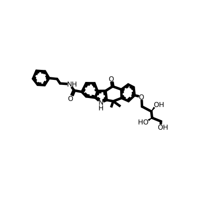 CC1(C)c2cc(OC[C@@H](O)[C@H](O)CO)ccc2C(=O)c2c1[nH]c1cc(C(=O)NCCc3ccccc3)ccc21